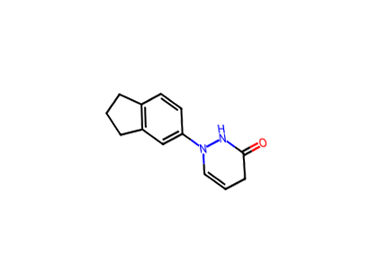 O=C1CC=CN(c2ccc3c(c2)CCC3)N1